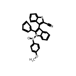 COc1ccc([S+]([O-])n2c(-c3ccccc3)c(-c3c(C#N)sc4ccccc34)c3ccccc32)cc1